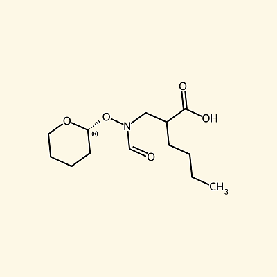 CCCCC(CN(C=O)O[C@@H]1CCCCO1)C(=O)O